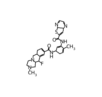 CC1=CCC(NC(=O)C2=CCC3CN4CCN(C)CC4C(F)C3=C2)C=C1NC(=O)C1=CC2N=CC=NC2S1